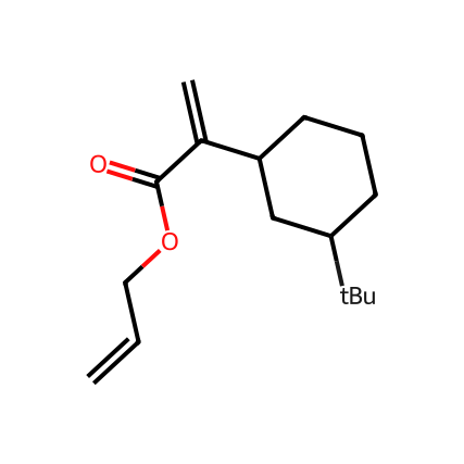 C=CCOC(=O)C(=C)C1CCCC(C(C)(C)C)C1